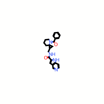 O=C(NCC1CC12CCCCN2C(=O)c1ccccc1)c1cc2cnccc2[nH]1